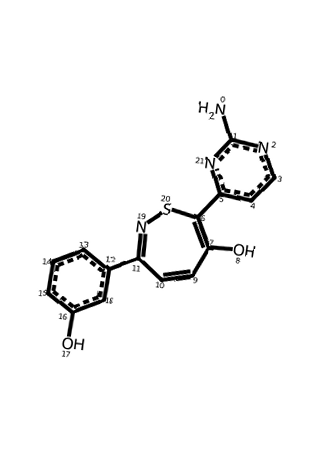 Nc1nccc(C2=C(O)C=CC(c3cccc(O)c3)=NS2)n1